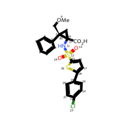 COC[C@@]1(c2ccccc2)CC1(NS(=O)(=O)c1ccc(-c2ccc(Cl)cc2)s1)C(=O)O